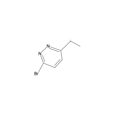 C[CH]c1ccc(Br)nn1